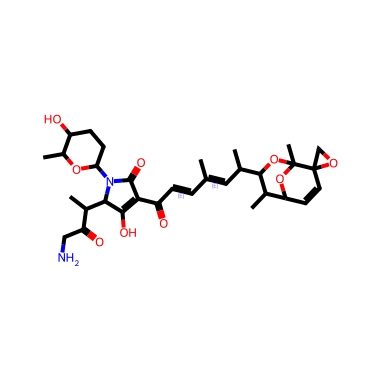 CC(/C=C/C(=O)C1=C(O)C(C(C)C(=O)CN)N(C2CCC(O)C(C)O2)C1=O)=C\C(C)C1OC2(C)OC(C=CC23CO3)C1C